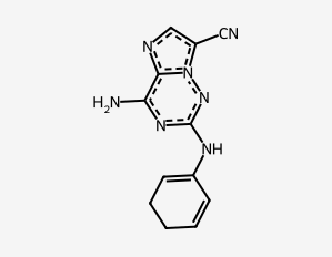 N#Cc1cnc2c(N)nc(NC3=CCCC=C3)nn12